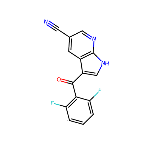 N#Cc1cnc2[nH]cc(C(=O)c3c(F)[c]ccc3F)c2c1